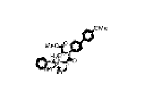 CCCP(=O)(N[C@@H](CC(C)C)C(=O)N(c1ccc(-c2ccc(OC)cc2)cc1)[C@@H](C)C(=O)OC)Oc1ccccc1